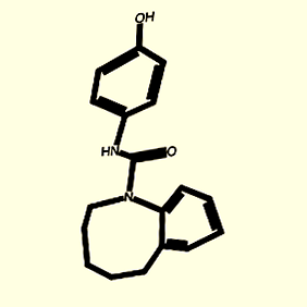 O=C(Nc1ccc(O)cc1)N1CCCCCc2ccccc21